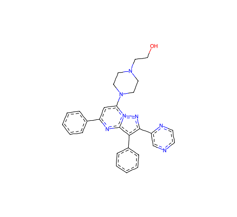 OCCN1CCN(c2cc(-c3ccccc3)nc3c(-c4ccccc4)c(-c4cnccn4)nn23)CC1